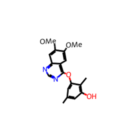 COc1cc2ncnc(Oc3cc(C)cc(O)c3C)c2cc1OC